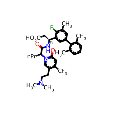 CCCC(C(=O)N[C@@H](CC(=O)O)c1cc(-c2c(C)cccc2C)cc(C)c1F)n1cc(CCN(C)C)c(C(F)(F)F)cc1=O